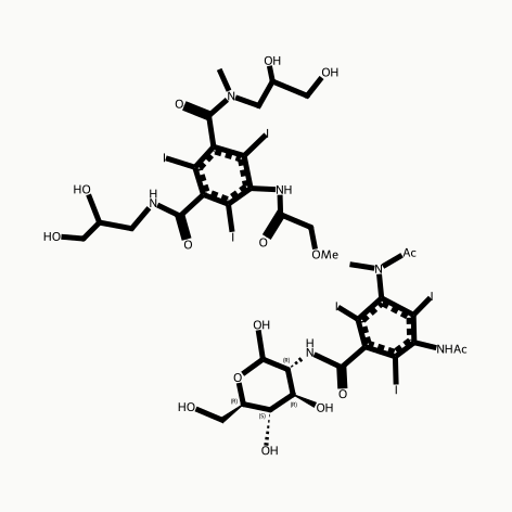 CC(=O)Nc1c(I)c(C(=O)N[C@H]2C(O)O[C@H](CO)[C@@H](O)[C@@H]2O)c(I)c(N(C)C(C)=O)c1I.COCC(=O)Nc1c(I)c(C(=O)NCC(O)CO)c(I)c(C(=O)N(C)CC(O)CO)c1I